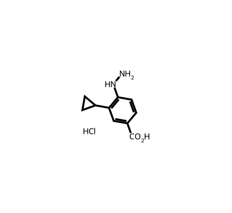 Cl.NNc1ccc(C(=O)O)cc1C1CC1